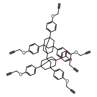 C#CCOc1ccc(C23CC4(c5ccc(OCC#C)cc5)CC(c5ccc(OCC#C)cc5)(C2)CC(C25CC6(c7ccc(OCC#C)cc7)CC(c7ccc(OCC#C)cc7)(CC(c7ccc(OCC#C)cc7)(C6)C2)C5)(C3)C4)cc1